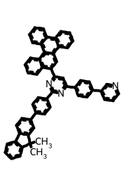 CC1(C)c2ccccc2-c2ccc(-c3ccc(-c4nc(-c5ccc(-c6cccnc6)cc5)cc(-c5cc6c7ccccc7c7ccccc7c6c6ccccc56)n4)cc3)cc21